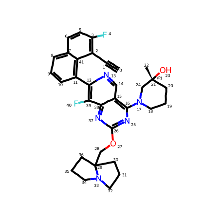 C#Cc1c(F)ccc2cccc(-c3ncc4c(N5CCC[C@@](C)(O)C5)nc(OCC56CCCN5CCC6)nc4c3F)c12